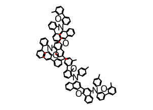 Cc1ccc(N(c2cc3c4cc(N(c5ccc(C)cc5)c5cccc6c5oc5c(C)cc(-c7ccc8c(N(c9ccccc9-c9ccccc9)c9cccc%10c9oc9c(C)cccc9%10)cc9c%10cc(N(c%11ccccc%11-c%11ccccc%11)c%11cccc%12c%11oc%11c(C)cccc%11%12)c%11ccccc%11c%10oc9c8c7)cc56)c5ccccc5c4oc3c3ccccc23)c2cccc3c2oc2c(C)cccc23)cc1